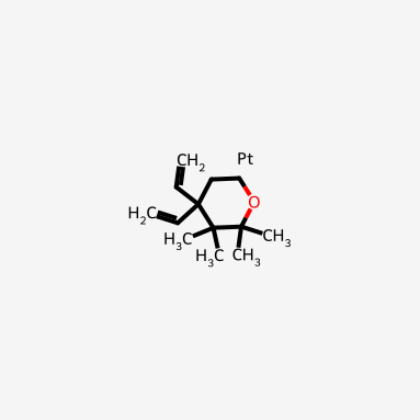 C=CC1(C=C)CCOC(C)(C)C1(C)C.[Pt]